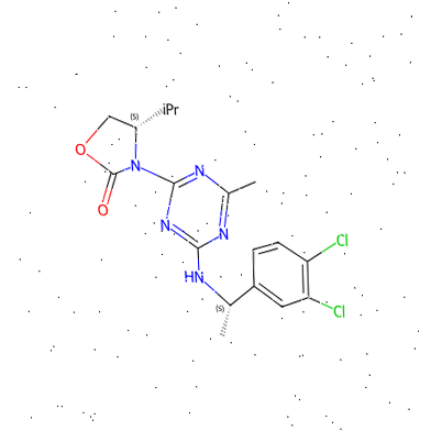 Cc1nc(N[C@@H](C)c2ccc(Cl)c(Cl)c2)nc(N2C(=O)OC[C@@H]2C(C)C)n1